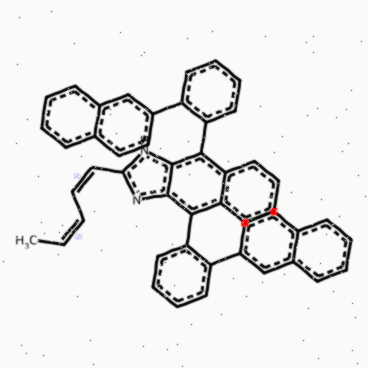 C/C=C\C=C/c1nc2c(-c3ccccc3-c3ccc4ccccc4c3)c3ccccc3c(-c3ccccc3-c3ccc4ccccc4c3)c2[nH]1